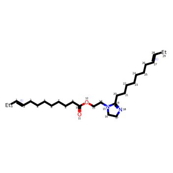 CC/C=C/CCCCCCCC(=O)OCCN1CCN=C1CCCCCCC/C=C/CC